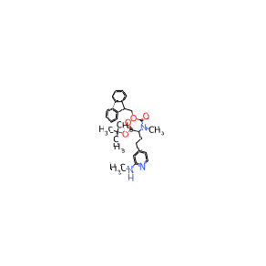 CNc1cc(CCC(C(=O)OC(C)(C)C)N(C)C(=O)OCC2c3ccccc3-c3ccccc32)ccn1